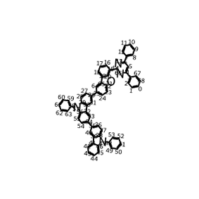 c1ccc(-c2cc(-c3ccccc3)nc(-c3cccc4c3oc3ccc(-c5ccc6c(c5)c5cc(-c7ccc8c(c7)c7ccccc7n8-c7ccccc7)ccc5n6-c5ccccc5)cc34)n2)cc1